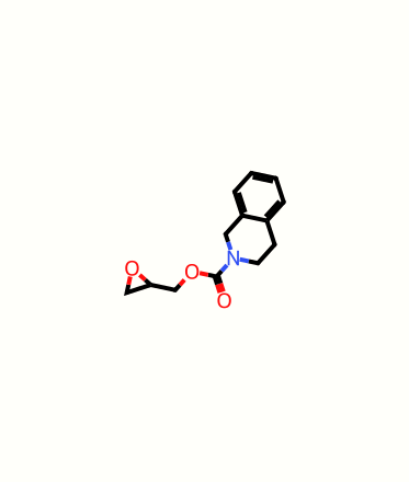 O=C(OCC1CO1)N1CCc2ccccc2C1